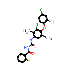 Cc1cc(NC(=O)NC(=O)c2ccccc2F)c(C)c(Cl)c1Oc1ccc(Cl)cc1Cl